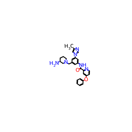 Cc1cn(-c2cc(CN3CCC[C@H](N)C3)cc(NC(=O)c3cc(Oc4ccccc4)ccn3)c2)cn1